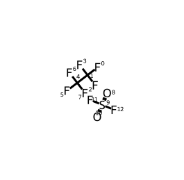 FC(F)(F)C(F)(F)F.O=S(=O)(F)F